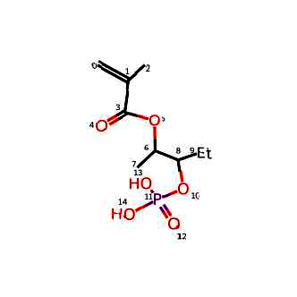 C=C(C)C(=O)OC(C)C(CC)OP(=O)(O)O